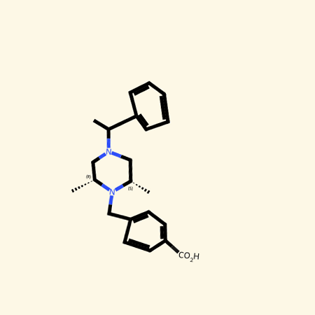 CC(c1ccccc1)N1C[C@@H](C)N(Cc2ccc(C(=O)O)cc2)[C@@H](C)C1